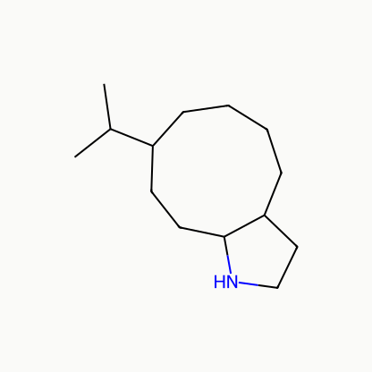 CC(C)C1CCCCC2CCNC2CC1